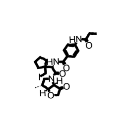 CCC(=O)Nc1ccc(C(=O)N[C@H](C(=O)N2C[C@@H](C)[C@H]3OCC(=O)[C@H]32)C2(CI)CCCC2)cc1